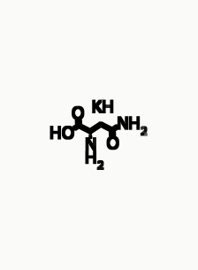 NC(=O)C[C@H](N)C(=O)O.[KH]